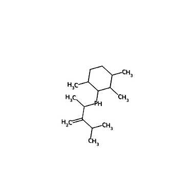 C=C(C(C)C)C(C)PC1C(C)CCC(C)C1C